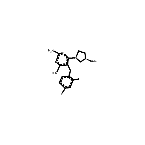 CN[C@@H]1CCN(c2nc(N)nc(N)c2Cc2ccc(F)cc2F)C1